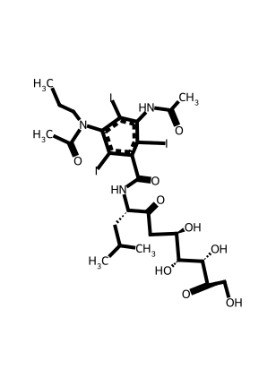 CCCN(C(C)=O)c1c(I)c(NC(C)=O)c(I)c(C(=O)N[C@@H](CC(C)C)C(=O)C[C@@H](O)[C@@H](O)[C@H](O)C(=O)CO)c1I